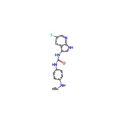 CCCCNc1ccc(NC(=O)Nc2c[nH]c3ncc(F)cc23)cc1